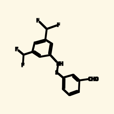 O=Cc1cccc(SNc2cc(C(F)F)cc(C(F)F)c2)c1